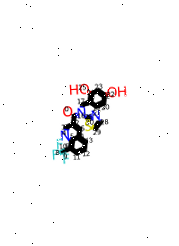 O=C(c1cnc2c(C(F)(F)F)cccc2c1)N(Cc1ccc(O)cc1O)c1nccs1